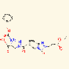 CCOC(=O)CCn1nc2ccc(C(=O)NCC(NC(=O)OCc3ccccc3)C(=O)O)cn2c1=O